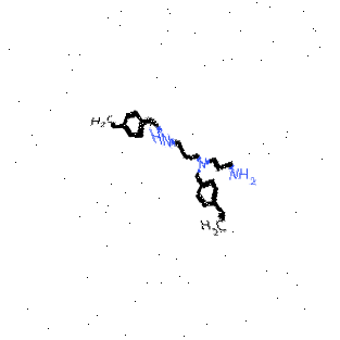 C=Cc1ccc(CNCCCN(CCCN)Cc2ccc(C=C)cc2)cc1